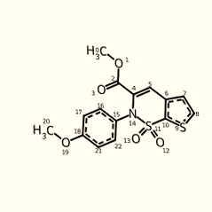 COC(=O)C1=Cc2ccsc2S(=O)(=O)N1c1ccc(OC)cc1